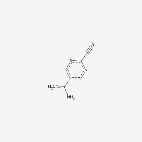 C=C(N)c1cnc(C#N)nc1